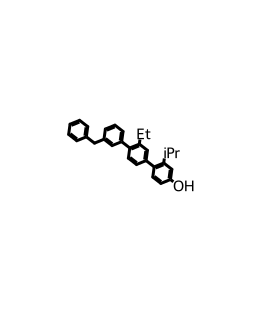 CCc1cc(-c2ccc(O)cc2C(C)C)ccc1-c1cccc(Cc2ccccc2)c1